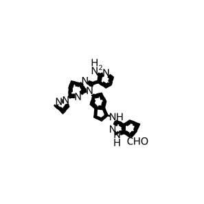 Nc1ncccc1-c1nc2ccc(-n3cccn3)nc2n1-c1ccc2c(c1)CC[C@@H]2Nc1n[nH]c2c(C=O)cccc12